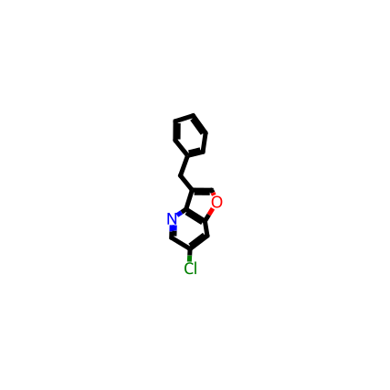 Clc1cnc2c(Cc3ccccc3)coc2c1